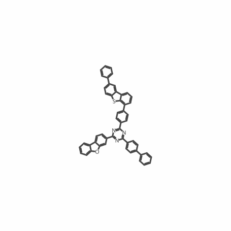 c1ccc(-c2ccc(-c3nc(-c4ccc(-c5cccc6c5sc5ccc(-c7ccccc7)cc56)cc4)nc(-c4ccc5c(c4)oc4ccccc45)n3)cc2)cc1